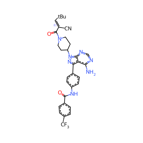 CC(C)(C)/C=C(\C#N)C(=O)N1CCC(n2nc(-c3ccc(NC(=O)c4ccc(C(F)(F)F)cc4)cc3)c3c(N)ncnc32)CC1